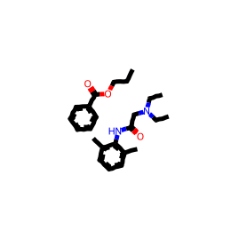 CCCOC(=O)c1ccccc1.CCN(CC)CC(=O)Nc1c(C)cccc1C